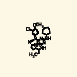 CCC(Nc1nc(NC2CCCCCC2)nc(N(C#N)c2ccc(OC)c(Cl)c2)n1)C1CCCN1